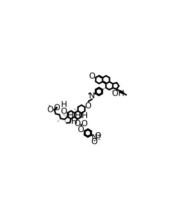 CC#C[C@]1(O)CCC2C3CCC4=CC(=O)CCC4=C3[C@@H](c3ccc(N(C)CCO[C@H]4CC[C@@]5(C)[C@@H](C4)C[C@@H](OC(=O)Oc4ccc([N+](=O)[O-])cc4)[C@@H]4[C@@H]5C[C@H](O)[C@]5(C)[C@@H]([C@H](C)CCC(=O)OC)CC[C@@H]45)cc3)C[C@@]21C